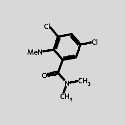 CNc1c(Cl)cc(Cl)cc1C(=O)N(C)C